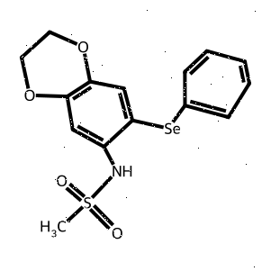 CS(=O)(=O)Nc1cc2c(cc1[Se]c1ccccc1)OCCO2